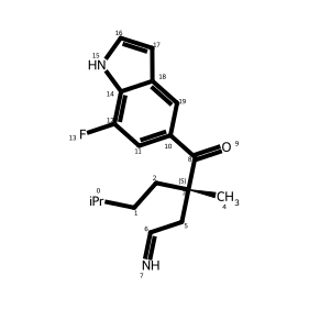 CC(C)CC[C@@](C)(CC=N)C(=O)c1cc(F)c2[nH]ccc2c1